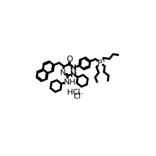 CCCC[P+](CCCC)(CCCC)Cc1ccc(NC(=O)C(Cc2ccc3ccccc3c2)N=C(NC2CCCCC2)NC2CCCCC2)cc1.Cl.[Cl-]